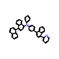 c1ccc(N(c2ccc(-c3ccc(-c4ccccn4)c4ccccc34)cc2)c2ccc(-c3cccc4ccccc34)c3ccccc23)cc1